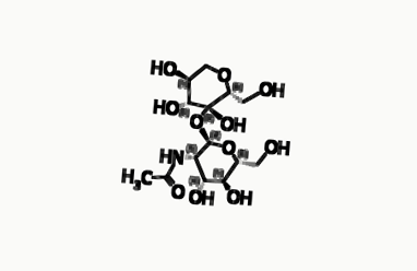 CC(=O)N[C@@H]1[C@@H](O[C@]2(O)[C@H](O)[C@@H](O)CO[C@@H]2CO)O[C@H](CO)[C@@H](O)[C@@H]1O